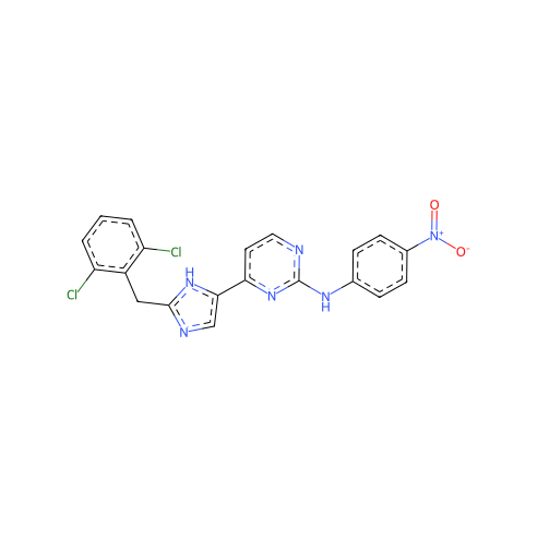 O=[N+]([O-])c1ccc(Nc2nccc(-c3cnc(Cc4c(Cl)cccc4Cl)[nH]3)n2)cc1